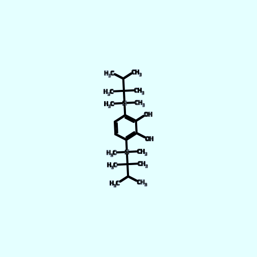 CC(C)C(C)(C)[Si](C)(C)c1ccc([Si](C)(C)C(C)(C)C(C)C)c(O)c1O